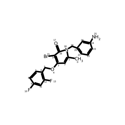 Cc1cc(OCc2ccc(F)cc2F)c(Br)c(=O)n1Cc1cccc(N)c1